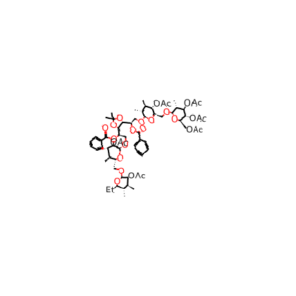 CC[C@H]1O[C@@H](OC[C@H]2O[C@@H](OC[C@@H](OC(=O)c3ccccc3)[C@H]3OC(C)(C)O[C@@H]3[C@@H](CO[C@@H]3O[C@H](CO[C@@H]4O[C@H](COC(C)=O)[C@@H](OC(C)=O)[C@H](OC(C)=O)[C@H]4C)[C@@H](OC(C)=O)[C@H](C)[C@H]3C)OC(=O)c3ccccc3)[C@H](OC(C)=O)[C@@H](C)[C@@H]2C)[C@H](OC(C)=O)[C@@H](C)[C@@H]1C